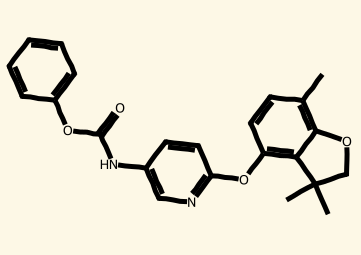 Cc1ccc(Oc2ccc(NC(=O)Oc3ccccc3)cn2)c2c1OCC2(C)C